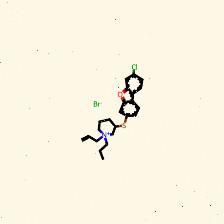 C=CC[N+]1(CCC)CCCC(Sc2ccc3c(c2)oc2cc(Cl)ccc23)C1.[Br-]